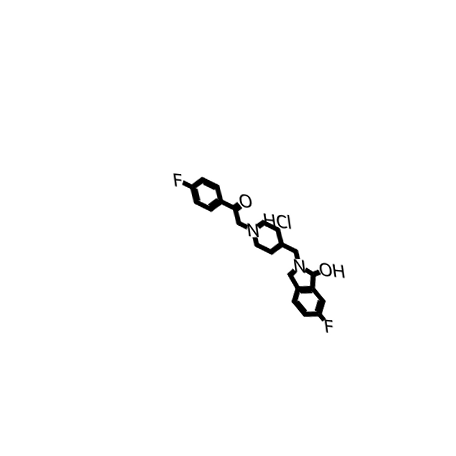 Cl.O=C(CN1CCC(CN2Cc3ccc(F)cc3C2O)CC1)c1ccc(F)cc1